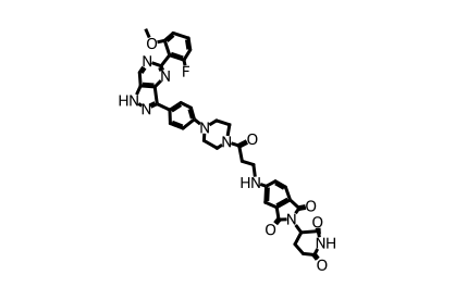 COc1cccc(F)c1-c1ncc2[nH]nc(-c3ccc(N4CCN(C(=O)CCNc5ccc6c(c5)C(=O)N(C5CCC(=O)NC5=O)C6=O)CC4)cc3)c2n1